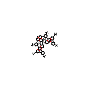 CC(C)(C)c1cc(-c2ccccc2)c(N2c3cc(-n4c5ccc(C#N)cc5c5cc(C(C)(C)C)ccc54)ccc3B3c4ccc(-n5c6ccc(C#N)cc6c6cc(C(C)(C)C)ccc65)cc4N(c4c(-c5ccccc5)cc(C(C)(C)C)cc4-c4ccccc4)c4cc(C(C)(C)C)cc2c43)c(-c2ccccc2)c1